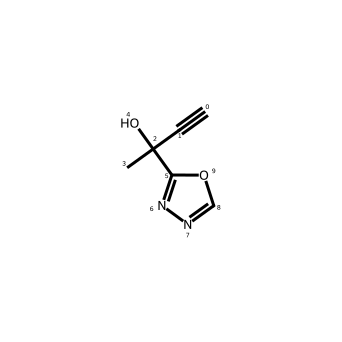 C#CC(C)(O)c1nnco1